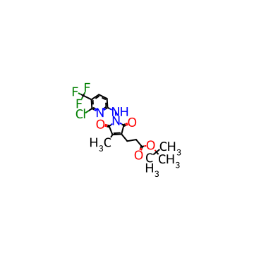 CC1=C(CCC(=O)OC(C)(C)C)C(=O)N(Nc2ccc(C(F)(F)F)c(Cl)n2)C1=O